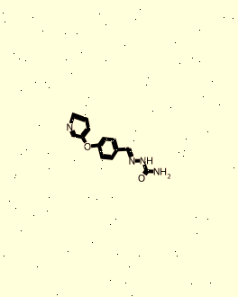 NC(=O)NN=Cc1ccc(Oc2cccnc2)cc1